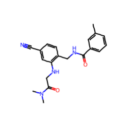 Cc1cccc(C(=O)NCc2ccc(C#N)cc2NCC(=O)N(C)C)c1